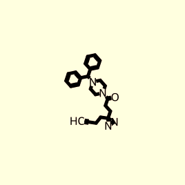 C#CCCC1(CCC(=O)N2CCN(C(c3ccccc3)c3ccccc3)CC2)N=N1